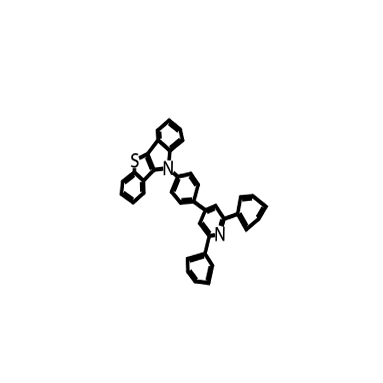 c1ccc(-c2cc(-c3ccc(-n4c5ccccc5c5sc6ccccc6c54)cc3)cc(-c3ccccc3)n2)cc1